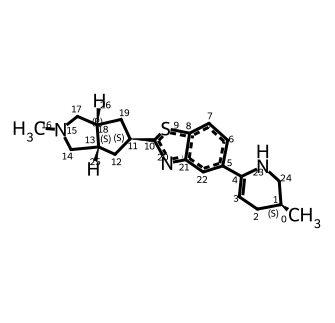 C[C@H]1CC=C(c2ccc3sc([C@H]4C[C@@H]5CN(C)C[C@@H]5C4)nc3c2)NC1